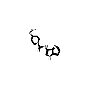 CCCOC1CCN(C(=O)Nc2c[nH]c3cccnc23)CC1